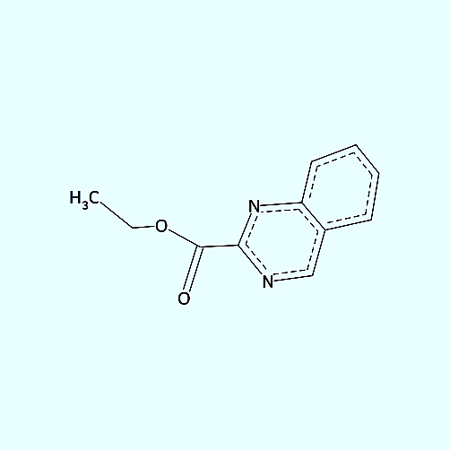 CCOC(=O)c1ncc2ccccc2n1